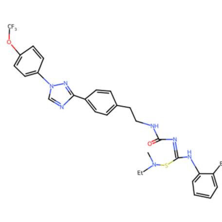 CCc1ccccc1N/C(=N/C(=O)NCCc1ccc(-c2ncn(-c3ccc(OC(F)(F)F)cc3)n2)cc1)SN(C)CC